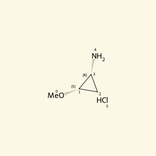 CO[C@H]1C[C@H]1N.Cl